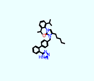 CCCCCc1cn(-c2c(C(C)C)cccc2C(C)C)c(=O)n1Cc1ccc(-c2ccccc2-c2nnn[nH]2)cc1